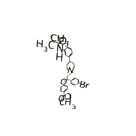 COC(=O)c1ccc(OC(CCN2CCC(c3cccc(NC(=O)C(C)C)c3)CC2)c2ccc(Br)cc2)cc1